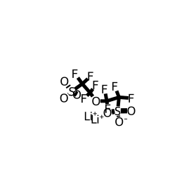 O=S(=O)([O-])C(F)(F)C(F)(F)OC(F)(F)C(F)(F)S(=O)(=O)[O-].[Li+].[Li+]